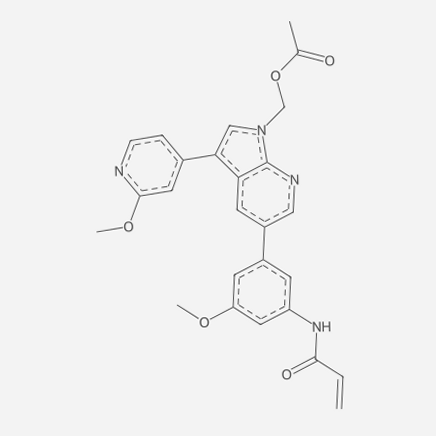 C=CC(=O)Nc1cc(OC)cc(-c2cnc3c(c2)c(-c2ccnc(OC)c2)cn3COC(C)=O)c1